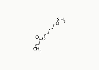 CC=CC(=O)OCCCCCO[SiH3]